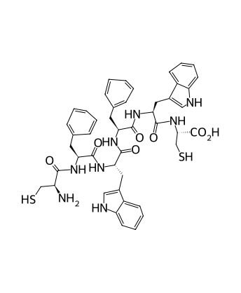 N[C@@H](CS)C(=O)N[C@@H](Cc1ccccc1)C(=O)N[C@@H](Cc1c[nH]c2ccccc12)C(=O)N[C@@H](Cc1ccccc1)C(=O)N[C@@H](Cc1c[nH]c2ccccc12)C(=O)N[C@@H](CS)C(=O)O